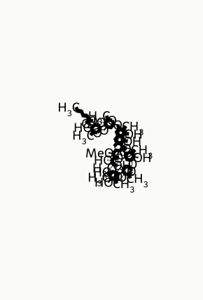 C/C=C/C=C/C(=O)O[C@@H]1C[C@H](O[C@@H]2C[C@H](Oc3cc4cc5c(c(O)c4c(O)c3C)C(=O)[C@@H](O[C@H]3C[C@@H](O[C@H]4C[C@@H](O[C@H]6C[C@](C)(O)[C@H](O)C(C)O6)[C@@H](O)C(C)O4)[C@H](O)C(C)O3)[C@H]([C@H](OC)C(=O)[C@@H](O)[C@@H](C)O)C5)OC(C)[C@H]2O)OC(C)[C@H]1O